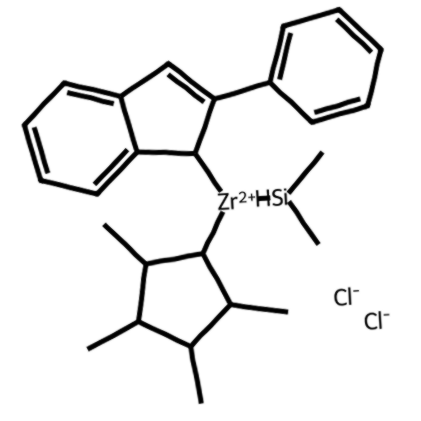 CC1C(C)C(C)[CH]([Zr+2]([CH]2C(c3ccccc3)=Cc3ccccc32)[SiH](C)C)C1C.[Cl-].[Cl-]